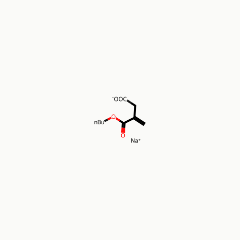 C=C(CC(=O)[O-])C(=O)OCCCC.[Na+]